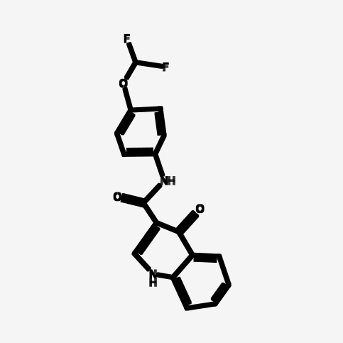 O=C(Nc1ccc(OC(F)F)cc1)c1c[nH]c2ccccc2c1=O